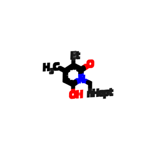 CCCCCCCCn1c(O)cc(C)c(CC)c1=O